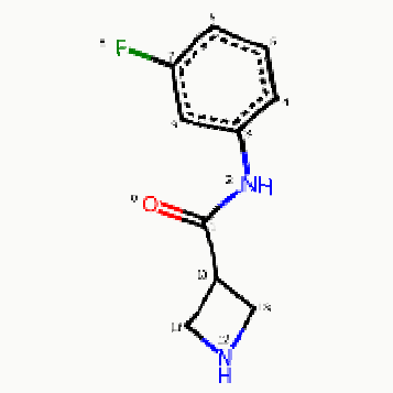 O=C(Nc1cccc(F)c1)C1CNC1